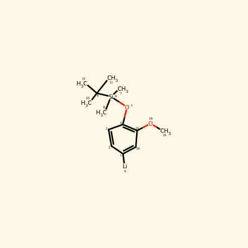 [Li][c]1ccc(O[Si](C)(C)C(C)(C)C)c(OC)c1